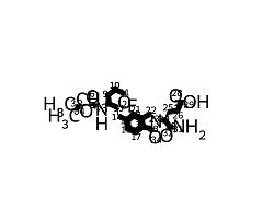 CC(C)(C)OC(=O)N[C@H]1CCCO[C@@H]1Cc1ccc2c(c1F)CN([C@@H](CCC(=O)O)C(N)=O)C2=O